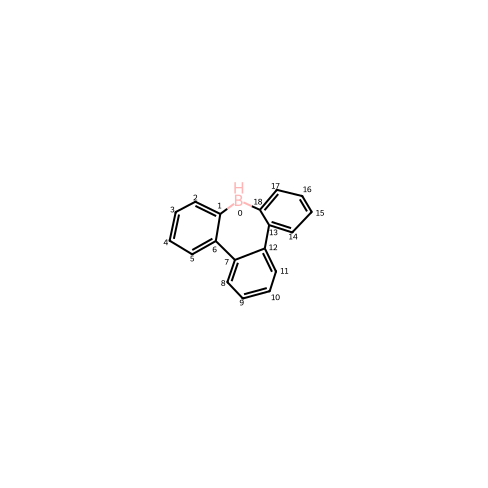 B1c2ccccc2-c2ccccc2-c2ccccc21